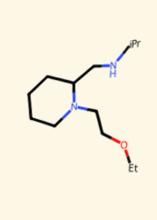 CCOCCN1CCCCC1CNC(C)C